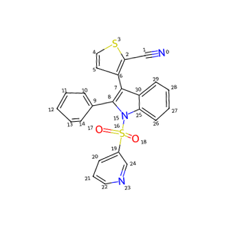 N#Cc1sccc1-c1c(-c2ccccc2)n(S(=O)(=O)c2cccnc2)c2ccccc12